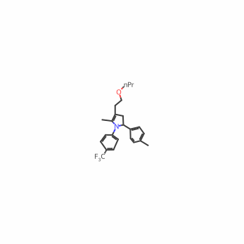 CCCOCCC1=C(C)N(c2ccc(C(F)(F)F)cc2)C(c2ccc(C)cc2)C1